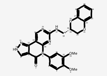 COc1ccc(-n2c(=O)c3c[nH]nc3c3cnc(NC[C@H]4COc5ccccc5O4)nc32)cc1OC